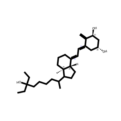 C=C1/C(=C/C=C2\CCC[C@]3(C)C(C(C)CCCCC(O)(CC)CC)CC[C@@H]23)C[C@@H](O)C[C@@H]1O